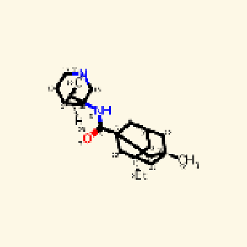 CC[C@]12CC3CC(C(=O)N[C@@H]4CN5CCC4CC5)(C[C@](C)(C3)C1)C2